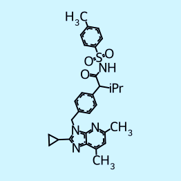 Cc1ccc(S(=O)(=O)NC(=O)C(c2ccc(Cn3c(C4CC4)nc4c(C)cc(C)nc43)cc2)C(C)C)cc1